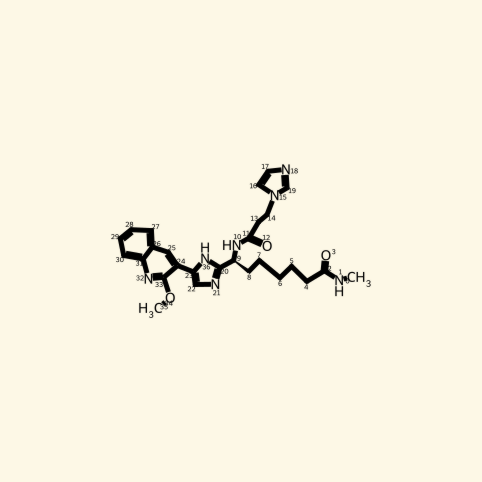 CNC(=O)CCCCC[C@H](NC(=O)CCn1ccnc1)c1ncc(-c2cc3ccccc3nc2OC)[nH]1